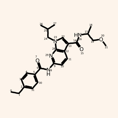 CCc1ccc(C(=O)Nc2ccc3c(C(=O)NC(C)COC)cn(CC(C)C)c3n2)cc1